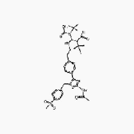 CC(=O)Nc1nc(-c2ccc(CCNC(N(C(=O)O)C(C)(C)C)N(C(=O)O)C(C)(C)C)cc2)c(Cc2ccc(S(C)(=O)=O)cc2)s1